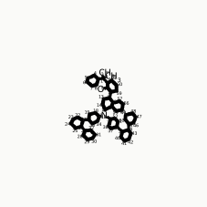 CC1(C)c2ccccc2Oc2c(-c3ccc(N(c4ccc(-c5ccccc5-c5ccccc5)cc4)c4ccc(-c5ccccc5-c5ccccc5)cc4)c4ccccc34)cccc21